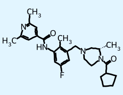 Cc1cc(C(=O)Nc2cc(F)cc(CN3CCN(C(=O)C4CCCC4)[C@@H](C)C3)c2C)cc(C)n1